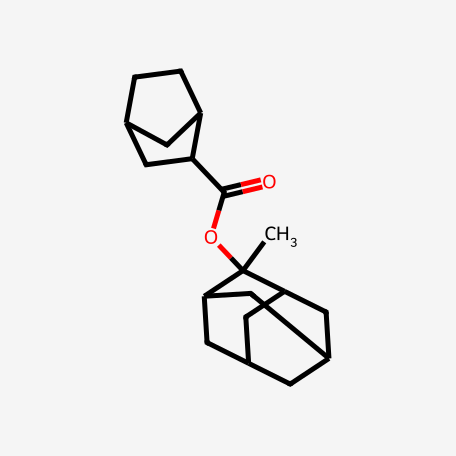 CC1(OC(=O)C2CC3CCC2C3)C2CC3CC(C2)CC1C3